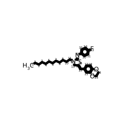 CCCCCCCCCCCCN1C/C(=C/c2ccc3c(c2)OCCO3)S/C1=N\c1ccc(F)cc1